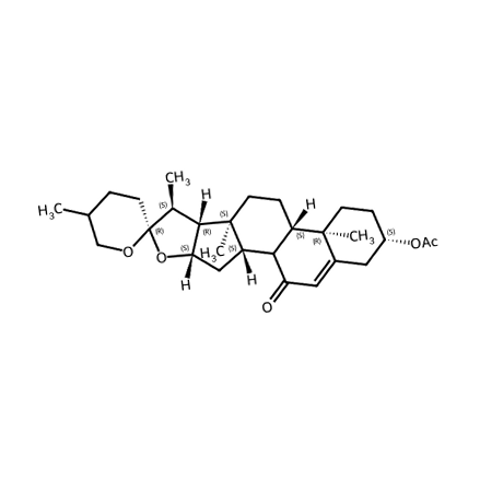 CC(=O)O[C@H]1CC[C@@]2(C)C(=CC(=O)C3[C@@H]4C[C@@H]5O[C@]6(CCC(C)CO6)[C@@H](C)[C@@H]5[C@@]4(C)CC[C@@H]32)C1